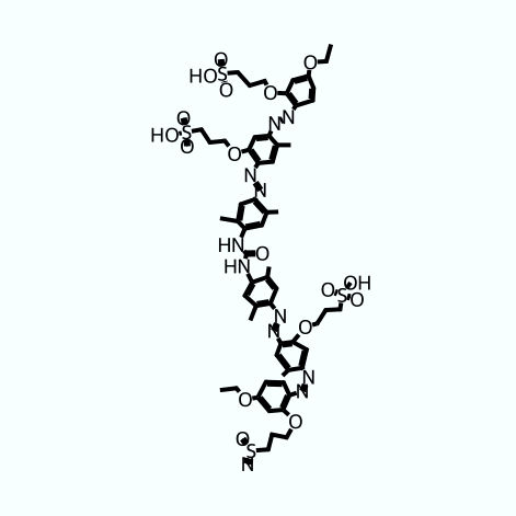 CCOc1ccc(N=Nc2cc(OCCCS(=O)(=O)O)c(N=Nc3cc(C)c(NC(=O)Nc4cc(C)c(/N=N/c5cc(C)c(/N=N\c6ccc(OCC)cc6OCCCS(#N)=O)cc5OCCCS(=O)(=O)O)cc4C)cc3C)cc2C)c(OCCCS(=O)(=O)O)c1